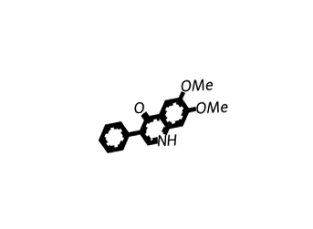 COc1cc2[nH]cc(-c3ccccc3)c(=O)c2cc1OC